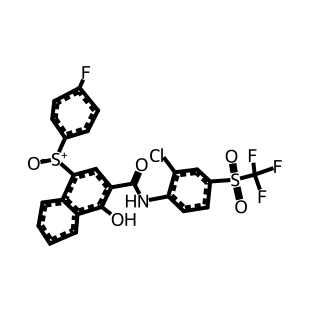 O=C(Nc1ccc(S(=O)(=O)C(F)(F)F)cc1Cl)c1cc([S+]([O-])c2ccc(F)cc2)c2ccccc2c1O